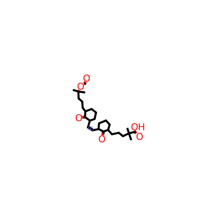 CC(C)(CCCC1CCCC(/C=C\C2CCCC(CCCC(C)(C)C(=O)O)C2=O)C1=O)OC=O